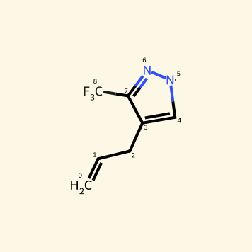 C=CCC1=C[N]N=C1C(F)(F)F